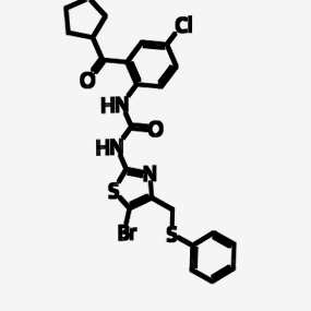 O=C(Nc1nc(CSc2ccccc2)c(Br)s1)Nc1ccc(Cl)cc1C(=O)C1CCCC1